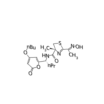 CCCCOc1cc([C@@H](CCC)NC(=O)[C@]2(C)CSC(/C(C)=N/O)=N2)oc(=O)c1